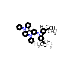 CC(C)(C)c1ccc2c(c1)c1cc(C(C)(C)C)ccc1n2-c1ccc2c(c1)N(c1ccccc1)c1cccc3c1B2c1ccccc1N3c1ccccc1